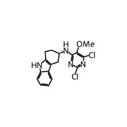 COc1c(Cl)nc(Cl)nc1N[C@@H]1CCc2[nH]c3ccccc3c2C1